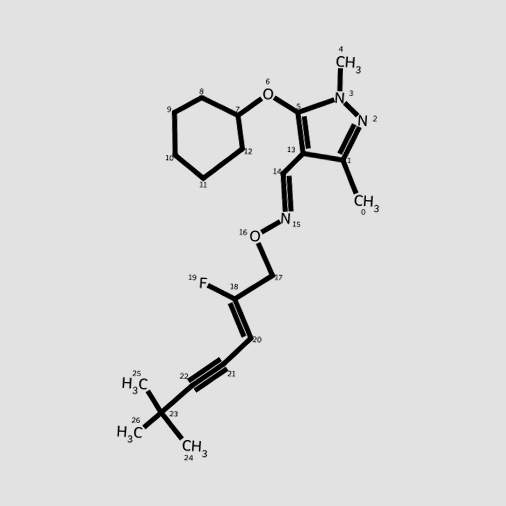 Cc1nn(C)c(OC2CCCCC2)c1C=NOCC(F)=CC#CC(C)(C)C